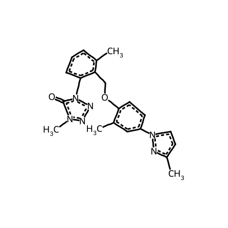 Cc1ccn(-c2ccc(OCc3c(C)cccc3-n3nnn(C)c3=O)c(C)c2)n1